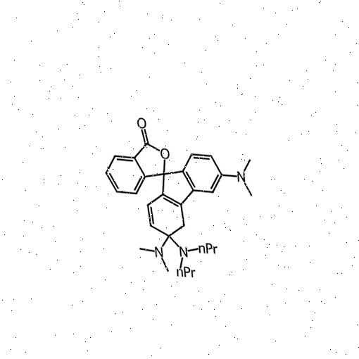 CCCN(CCC)C1(N(C)C)C=CC2=C(C1)c1cc(N(C)C)ccc1C21OC(=O)c2ccccc21